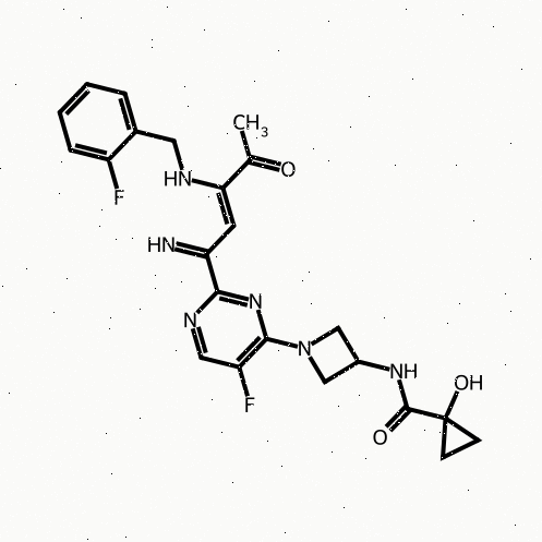 CC(=O)/C(=C/C(=N)c1ncc(F)c(N2CC(NC(=O)C3(O)CC3)C2)n1)NCc1ccccc1F